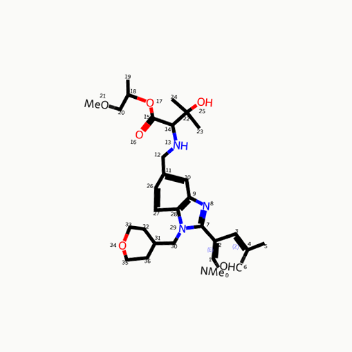 CN/C=C(\C=C(\C)C=O)c1nc2cc(CNC(C(=O)OC(C)COC)C(C)(C)O)ccc2n1CC1CCOCC1